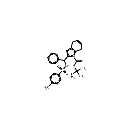 Cc1ccc(S(=O)(=O)NC(c2ccccc2)c2cc3c(n2C(=O)OC(C)(C)C)CC=CC3)cc1